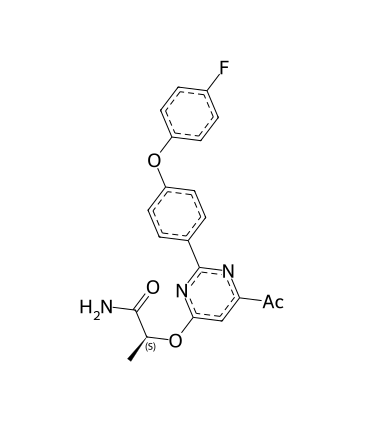 CC(=O)c1cc(O[C@@H](C)C(N)=O)nc(-c2ccc(Oc3ccc(F)cc3)cc2)n1